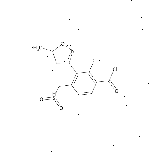 CC1CC(c2c(C[SH](=O)=O)ccc(C(=O)Cl)c2Cl)=NO1